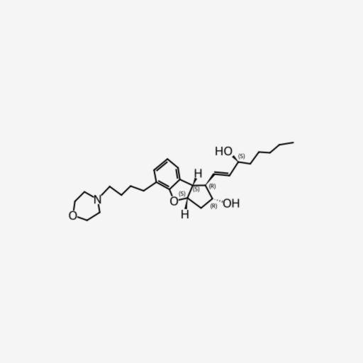 CCCCC[C@H](O)C=C[C@@H]1[C@H]2c3cccc(CCCCN4CCOCC4)c3O[C@H]2C[C@H]1O